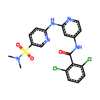 CN(C)S(=O)(=O)c1ccc(Nc2cc(NC(=O)c3c(Cl)cccc3Cl)ccn2)nc1